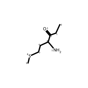 CCC(=O)C(N)CCSC